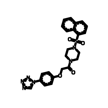 O=C(COc1ccc(-n2cnnn2)cc1)N1CCN(S(=O)(=O)c2cccc3ccccc23)CC1